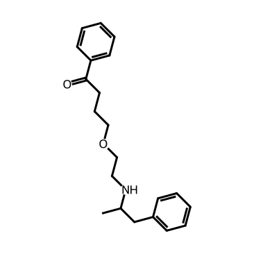 CC(Cc1ccccc1)NCCOCCCC(=O)c1ccccc1